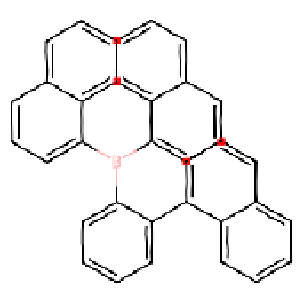 c1ccc(-c2cccc3ccccc23)c(B(c2cccc3ccccc23)c2cccc3ccccc23)c1